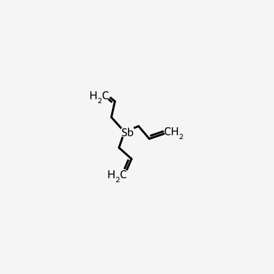 C=C[CH2][Sb]([CH2]C=C)[CH2]C=C